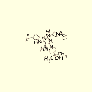 CCSN1CC(Nc2nc(Nc3cccc(C(F)F)c3)c(C=N)c(N3CCC(C(C)(C)O)CC3)n2)C1